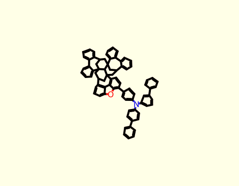 c1ccc(-c2ccc(N(c3ccc(-c4ccc5c6c4oc4cccc(c46)C4CC67CC(CC89CC(CC5(C4)C86)c4ccccc4-c4ccccc49)c4ccccc4-c4ccccc47)cc3)c3cccc(-c4ccccc4)c3)cc2)cc1